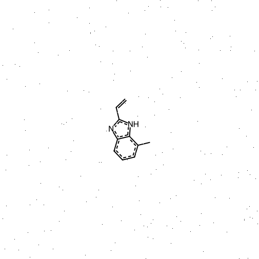 C=Cc1nc2cccc(C)c2[nH]1